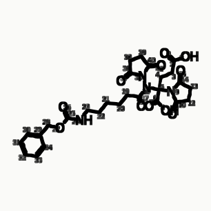 O=C(O)CC[C@](C(=O)O)(N1C(=O)CCC1=O)N(C(=O)CCCCCNC(=O)OCc1ccccc1)N1C(=O)CCC1=O